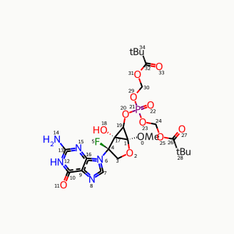 CO[C@]12OC[C@](F)(n3cnc4c(=O)[nH]c(N)nc43)[C@@]1(O)C2OP(=O)(OCOC(=O)C(C)(C)C)OCOC(=O)C(C)(C)C